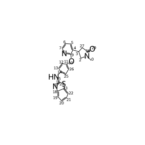 CN1CC(c2cccnc2Oc2ccc(Nc3nc4ccccc4s3)cc2)CC1=O